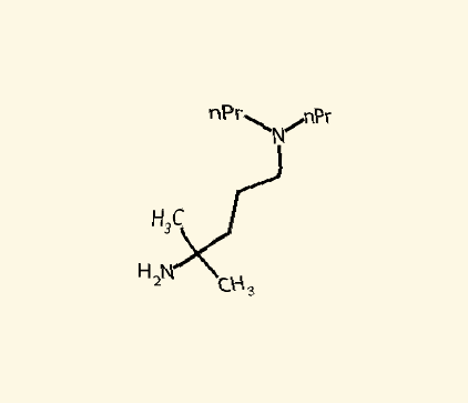 CCCN(CCC)CCCC(C)(C)N